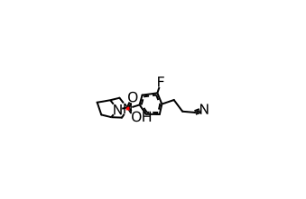 N#CCCc1ccc(N2CC3CCC(C2)N3C(=O)O)cc1F